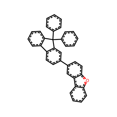 c1ccc(C2(c3ccccc3)c3ccccc3-c3ccc(-c4ccc5oc6ccccc6c5c4)cc32)cc1